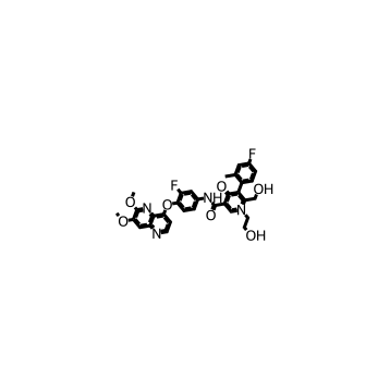 COc1cc2nccc(Oc3ccc(NC(=O)c4cn(CCO)c(CO)c(-c5ccc(F)cc5C)c4=O)cc3F)c2nc1OC